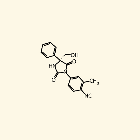 [C-]#[N+]c1ccc(N2C(=O)N[C@@](CO)(c3ccccc3)C2=O)cc1C